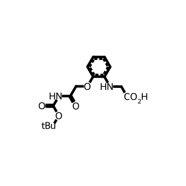 CC(C)(C)OC(=O)NC(=O)COc1ccccc1NCC(=O)O